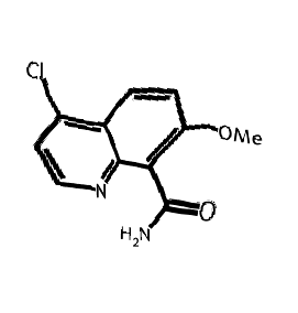 COc1ccc2c(Cl)ccnc2c1C(N)=O